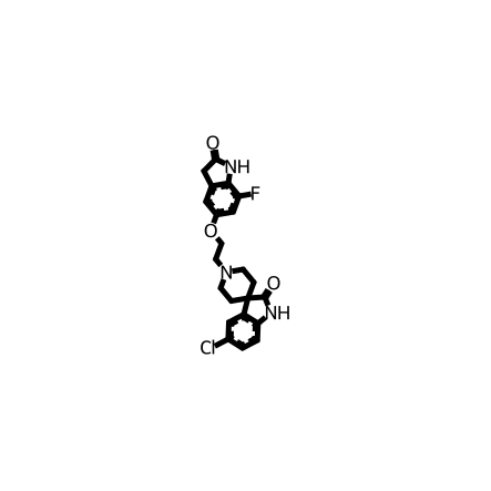 O=C1Cc2cc(OCCN3CCC4(CC3)C(=O)Nc3ccc(Cl)cc34)cc(F)c2N1